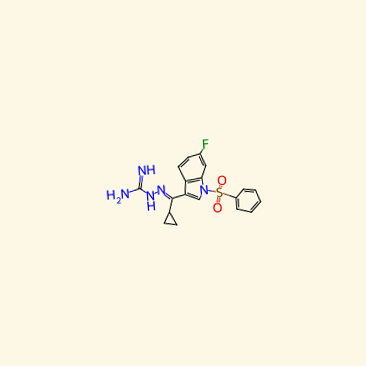 N=C(N)NN=C(c1cn(S(=O)(=O)c2ccccc2)c2cc(F)ccc12)C1CC1